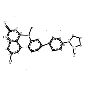 CN(c1cccc(-c2ccc(N3CCC[S+]3[O-])cc2)c1)c1nc(=O)[nH]c2cc(Cl)ccc12